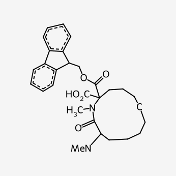 CNC1CCCCCCCCC(C(=O)O)(C(=O)OCC2c3ccccc3-c3ccccc32)N(C)C1=O